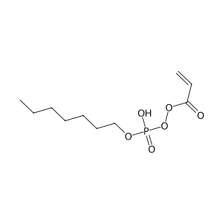 C=CC(=O)OOP(=O)(O)OCCCCCCC